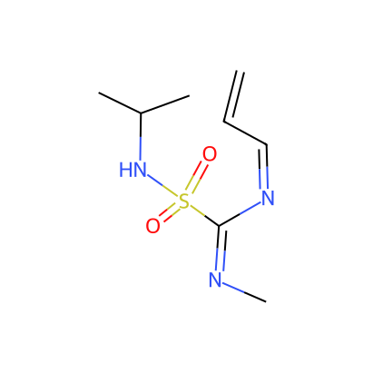 C=C/C=N\C(=N/C)S(=O)(=O)NC(C)C